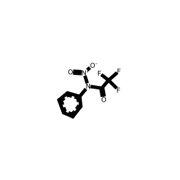 O=C(N(c1ccccc1)[N+](=O)[O-])C(F)(F)F